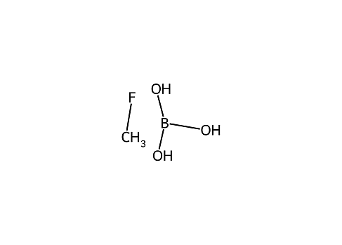 CF.OB(O)O